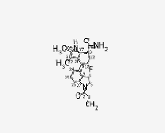 C=CC(=O)N1CCc2c(-c3c(F)cc(C(N)=O)c4[nH]c(C)c(C)c34)cccc21